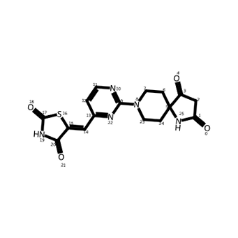 O=C1CC(=O)C2(CCN(c3nccc(/C=C4\SC(=O)NC4=O)n3)CC2)N1